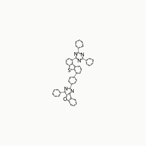 c1ccc(-c2nc(-c3ccccc3)nc(-c3cccc4sc5c(-c6ccc(-c7nc(-c8ccccc8)c8oc9ccccc9c8n7)cc6)cccc5c34)n2)cc1